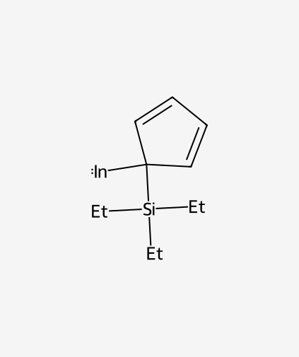 CC[Si](CC)(CC)[C]1([In])C=CC=C1